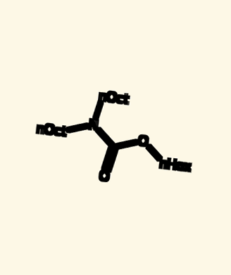 CCCCCCCCN(CCCCCCCC)C(=O)OCCCCCC